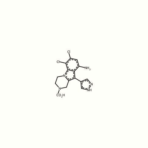 Nc1cc(Cl)c(Cl)c2c1c(-c1cn[nH]c1)c1n2CCN(C(=O)O)C1